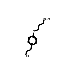 CCCCCCCCCCCOc1ccc(CCO)cc1